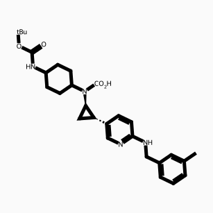 Cc1cccc(CNc2ccc([C@@H]3C[C@H]3N(C(=O)O)C3CCC(NC(=O)OC(C)(C)C)CC3)cn2)c1